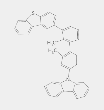 CC1=C(c2cccc(-c3ccc4sc5ccccc5c4c3)c2C)CCC(n2c3ccccc3c3ccccc32)=C1